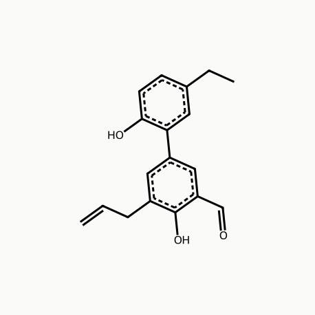 C=CCc1cc(-c2cc(CC)ccc2O)cc(C=O)c1O